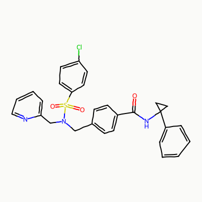 O=C(NC1(c2ccccc2)CC1)c1ccc(CN(Cc2ccccn2)S(=O)(=O)c2ccc(Cl)cc2)cc1